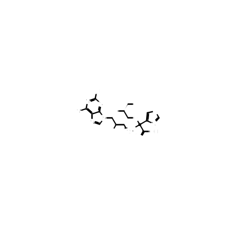 CCC(O)[C@@H](O[C@@H](CO)COC(C)(C(=O)O)c1cscn1)n1cnc2c(N)nc(Cl)nc21